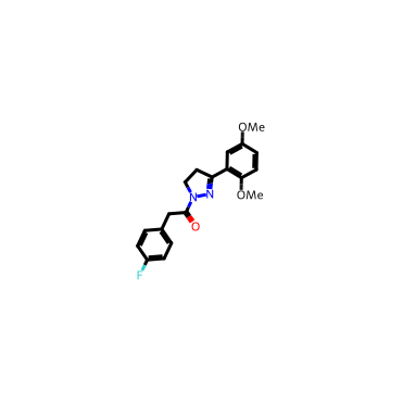 COc1ccc(OC)c(C2=NN(C(=O)Cc3ccc(F)cc3)CC2)c1